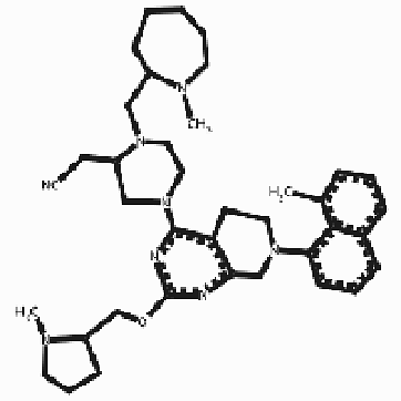 Cc1cccc2cccc(N3CCc4c(nc(OCC5CCCN5C)nc4N4CCN(CC5CCCCCN5C)C(CC#N)C4)C3)c12